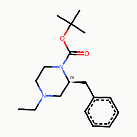 CCN1CCN(C(=O)OC(C)(C)C)[C@@H](Cc2ccccc2)C1